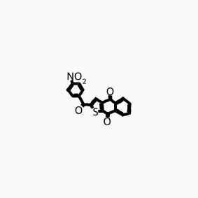 O=C(c1ccc([N+](=O)[O-])cc1)c1cc2c(s1)C(=O)c1ccccc1C2=O